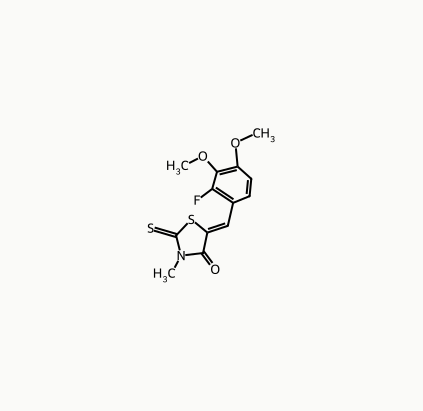 COc1ccc(/C=C2\SC(=S)N(C)C2=O)c(F)c1OC